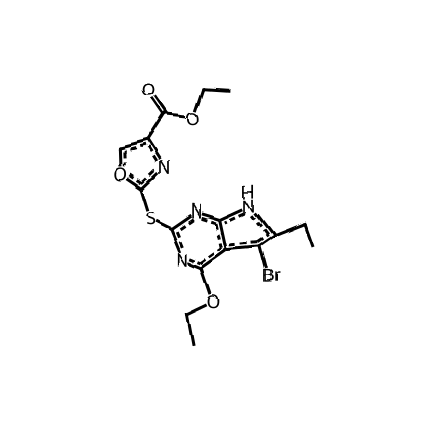 CCOC(=O)c1coc(Sc2nc(OCC)c3c(Br)c(CC)[nH]c3n2)n1